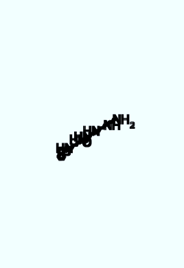 NCCCNCCCCNCCCNC(=O)NCCCCCNSc1cccc2ccccc12